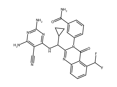 N#Cc1c(N)nc(N)nc1NC(c1nc2cccc(C(F)F)c2c(=O)n1-c1cccc(C(N)=O)c1)C1CC1